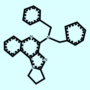 c1ccc(CN(Cc2ccccc2)c2nc3ccccc3c3c2nc2n3CCC2)cc1